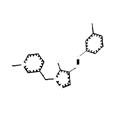 Cc1cccc(/N=N/c2cnn(Cc3ccc[n+](C)c3)c2N)c1.[Cl-]